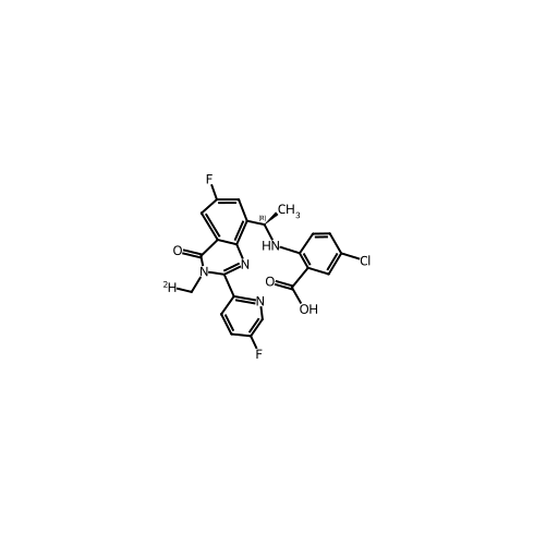 [2H]Cn1c(-c2ccc(F)cn2)nc2c([C@@H](C)Nc3ccc(Cl)cc3C(=O)O)cc(F)cc2c1=O